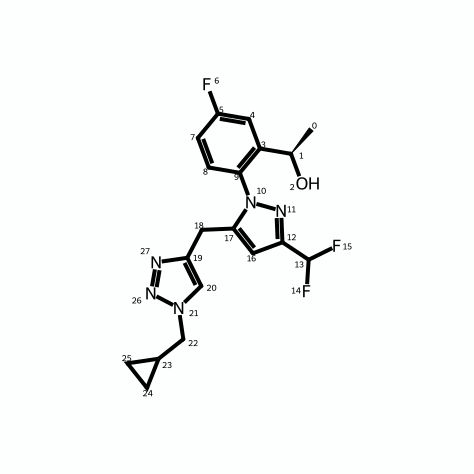 C[C@@H](O)c1cc(F)ccc1-n1nc(C(F)F)cc1Cc1cn(CC2CC2)nn1